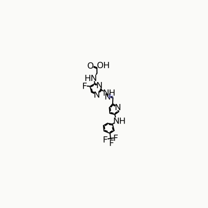 O=C(O)CNc1nc(N/N=C/c2ccc(Nc3cccc(C(F)(F)F)c3)cn2)ncc1F